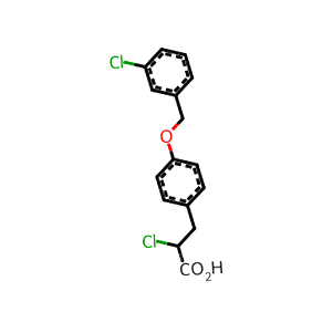 O=C(O)C(Cl)Cc1ccc(OCc2cccc(Cl)c2)cc1